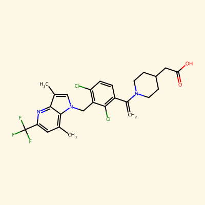 C=C(c1ccc(Cl)c(Cn2cc(C)c3nc(C(F)(F)F)cc(C)c32)c1Cl)N1CCC(CC(=O)O)CC1